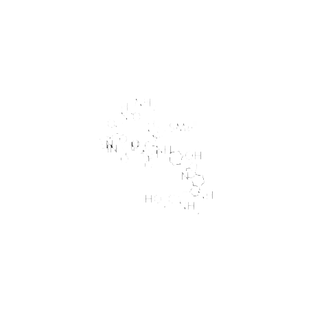 C=C(NC(Cc1ccc(O)c(-c2nc3c(ccc4[nH]cc(CC(N)C(=O)O)c43)o2)c1)C(=O)NCC(=O)C(=O)CNN1CCC[C@H]1C(=O)C(=O)CNC(=O)CN)[C@@H](N)CCSC